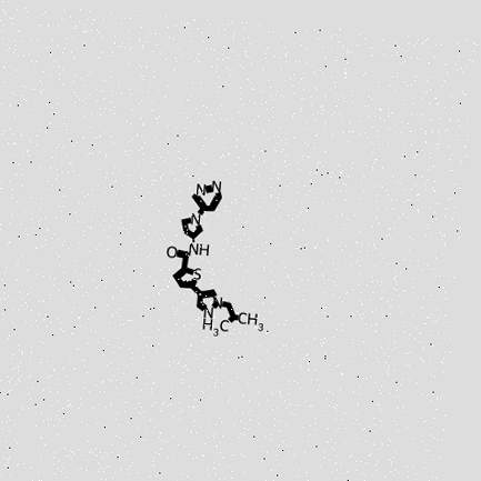 CC(C)Cn1cc(-c2ccc(C(=O)N[C@@H]3CCN(c4ccnnc4)C3)s2)cn1